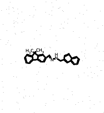 CC1(C)c2ccccc2-c2ccc(/C=N/NCc3ccc4ccccc4c3)cc21